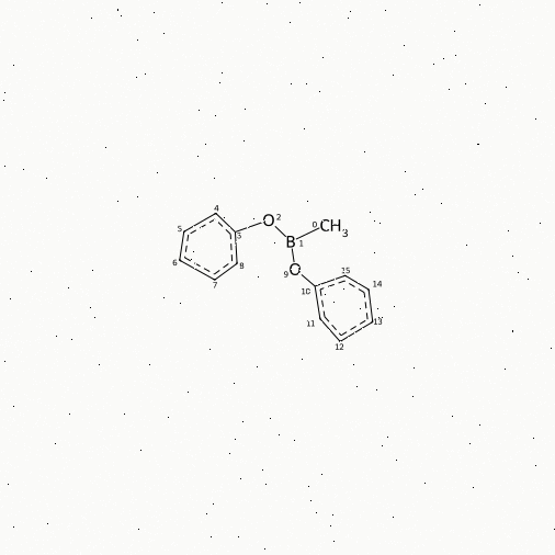 CB(Oc1ccccc1)Oc1ccccc1